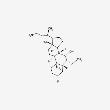 CC[C@H]1[C@@H](O)[C@@H]2[C@H](CC[C@]3(C)[C@@H]([C@H](C)CCN)CC[C@@H]23)[C@@]2(C)CC[C@@H](F)C[C@@H]12